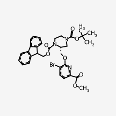 COC(=O)c1ccc(Br)c(OC[C@H]2CN(C(=O)OC(C)(C)C)CCN2C(=O)OCC2c3ccccc3-c3ccccc32)n1